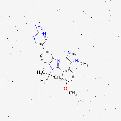 COc1ccc(-c2cncn2C)c(-c2nc3cc(-c4cnc(N)nc4)ccc3n2C(C)(C)C)c1